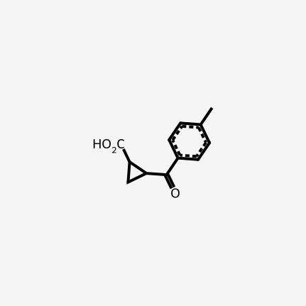 Cc1ccc(C(=O)C2CC2C(=O)O)cc1